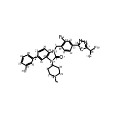 CN1CCC(n2c(=O)n(Cc3ccc(-c4nnc(C(F)F)o4)cc3F)c3ccc(-c4cccc(F)c4)cc32)CC1